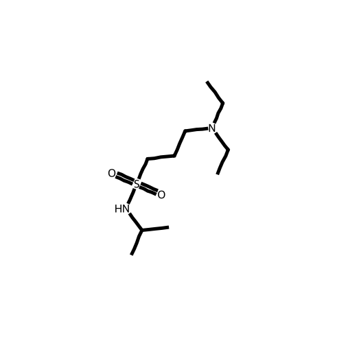 CCN(CC)CCCS(=O)(=O)NC(C)C